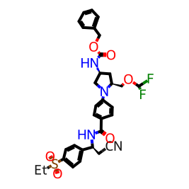 CCS(=O)(=O)c1ccc([C@H](CC#N)NC(=O)c2ccc(N3C[C@@H](NC(=O)OCc4ccccc4)C[C@H]3COC(F)F)cc2)cc1